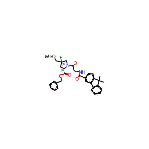 COC[C@@]1(F)C[C@@H](C(=O)OCc2ccccc2)N(C(=O)CNC(=O)c2ccc3c(c2)-c2ccccc2C3(C)C)C1